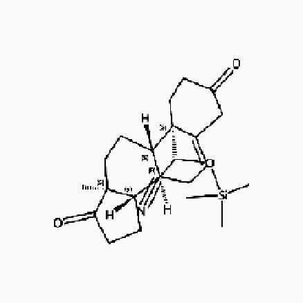 C[C@]12CC[C@H]3[C@@H](CC=C4CC(=O)CC[C@@]43C(C#N)O[Si](C)(C)C)[C@@H]1CCC2=O